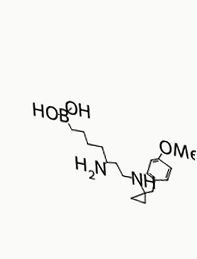 COc1ccc(CC2(NCCC(N)CCCCB(O)O)CC2)cc1